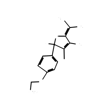 COCOc1ccc(C2(C(F)(F)F)OC(=C(C#N)C#N)C(C#N)=C2C)cc1